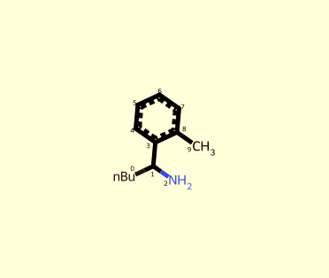 CCCCC(N)c1ccccc1C